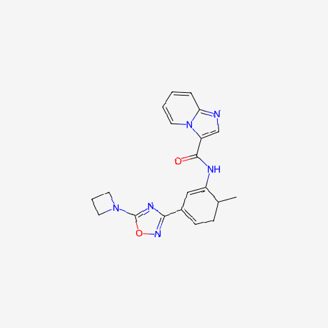 CC1CC=C(c2noc(N3CCC3)n2)C=C1NC(=O)c1cnc2ccccn12